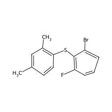 Cc1ccc(Sc2c(F)cccc2Br)c(C)c1